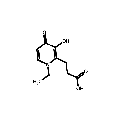 CCn1ccc(=O)c(O)c1CCC(=O)O